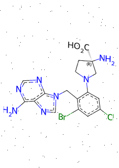 Nc1ncnc2c1ncn2Cc1c(Br)cc(Cl)cc1N1CC[C@](N)(C(=O)O)C1